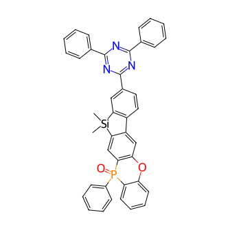 C[Si]1(C)c2cc(-c3nc(-c4ccccc4)nc(-c4ccccc4)n3)ccc2-c2cc3c(cc21)P(=O)(c1ccccc1)c1ccccc1O3